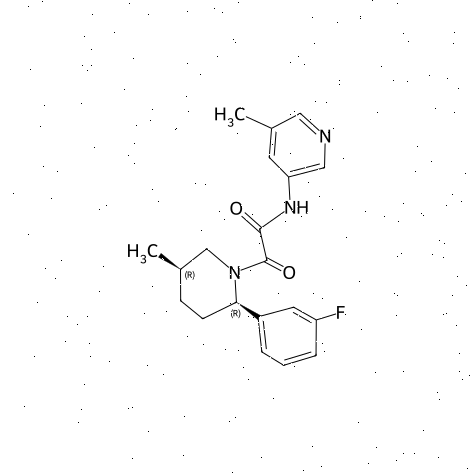 Cc1cncc(NC(=O)C(=O)N2C[C@H](C)CC[C@@H]2c2cccc(F)c2)c1